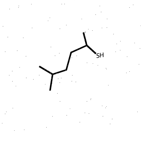 [CH2]C(S)CCC(C)C